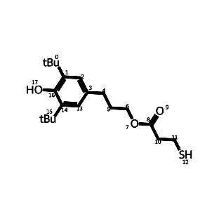 CC(C)(C)c1cc(CCCOC(=O)CCS)cc(C(C)(C)C)c1O